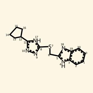 c1ccc2[nH]c(CSc3nnc(C4CCCC4)[nH]3)nc2c1